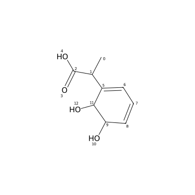 CC(C(=O)O)C1=CC=CC(O)C1O